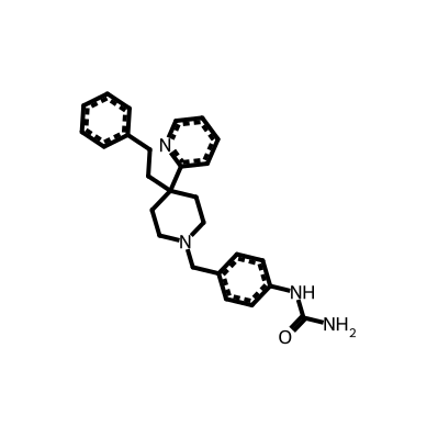 NC(=O)Nc1ccc(CN2CCC(CCc3ccccc3)(c3ccccn3)CC2)cc1